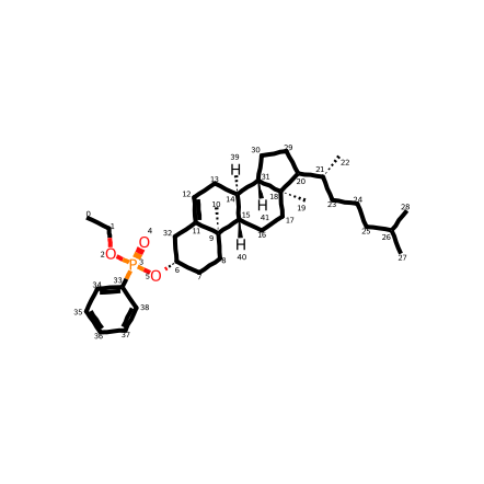 CCOP(=O)(O[C@H]1CC[C@@]2(C)C(=CC[C@@H]3[C@@H]2CC[C@]2(C)C([C@H](C)CCCC(C)C)CC[C@@H]32)C1)c1ccccc1